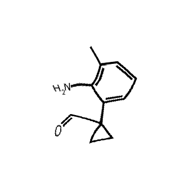 Cc1cccc(C2(C=O)CC2)c1N